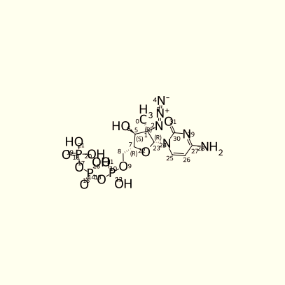 C[C@@]1(N=[N+]=[N-])[C@H](O)[C@@H](COP(=O)(O)OP(=O)(O)OP(=O)(O)O)O[C@H]1n1ccc(N)nc1=O